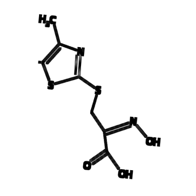 Cc1[c]sc(SCC(=NO)C(=O)O)n1